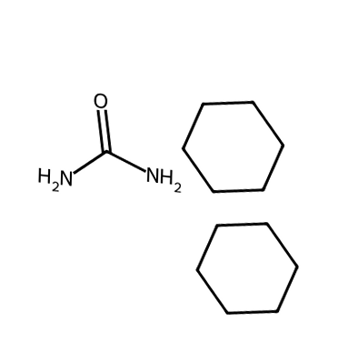 C1CCCCC1.C1CCCCC1.NC(N)=O